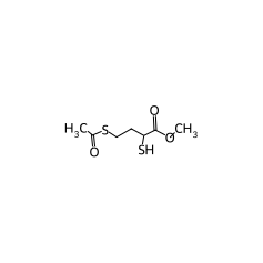 COC(=O)C(S)CCSC(C)=O